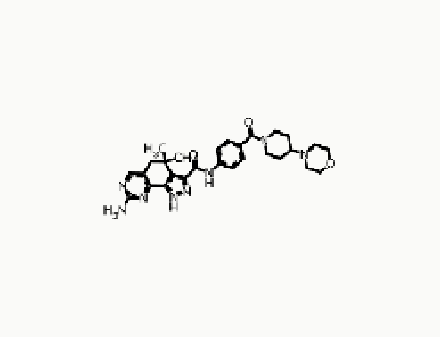 CC1(C)Cc2cnc(N)nc2-c2[nH]nc(C(=O)Nc3ccc(C(=O)N4CCC(N5CCOCC5)CC4)cc3)c21